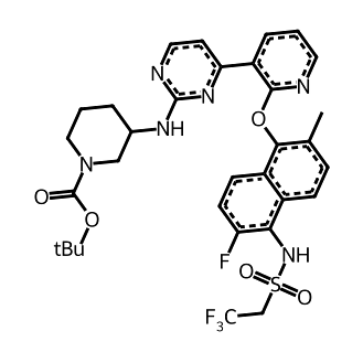 Cc1ccc2c(NS(=O)(=O)CC(F)(F)F)c(F)ccc2c1Oc1ncccc1-c1ccnc(NC2CCCN(C(=O)OC(C)(C)C)C2)n1